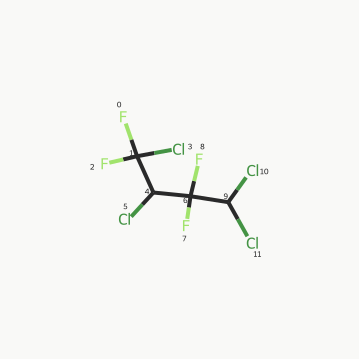 FC(F)(Cl)C(Cl)C(F)(F)C(Cl)Cl